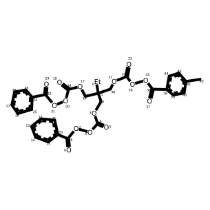 CCC(COC(=O)OOC(=O)c1ccccc1)(COC(=O)OOC(=O)c1ccccc1)COC(=O)OOC(=O)c1ccc(C)cc1